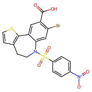 O=C(O)c1cc2c(cc1Br)N(S(=O)(=O)c1ccc([N+](=O)[O-])cc1)CCc1ccsc1-2